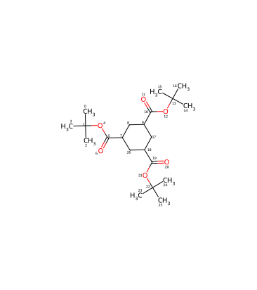 CC(C)(C)OC(=O)C1CC(C(=O)OC(C)(C)C)CC(C(=O)OC(C)(C)C)C1